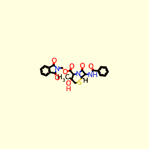 CC1(O)CS[C@@H]2C(NC(=O)c3ccccc3)C(=O)N2C1C(=O)OCN1C(=O)c2ccccc2C1=O